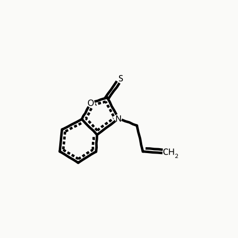 C=CCn1c(=S)oc2ccccc21